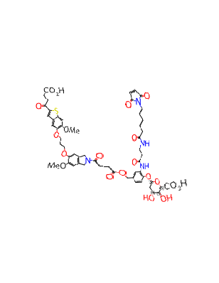 COc1cc2c(cc1OCCCOc1cc3cc(C(=O)CCC(=O)O)sc3cc1OC)CN(C(=O)CCC(=O)OCc1ccc(O[C@H]3C[C@@H](O)[C@H](O)[C@@H](C(=O)O)O3)c(NC(=O)CCNC(=O)CCCCCN3C(=O)C=CC3=O)c1)C2